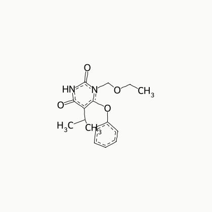 CCOCn1c(Oc2ccccc2)c(C(C)C)c(=O)[nH]c1=O